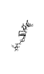 CC(=O)N(C)c1cnn(-c2ccc(OCCCN3CCC[C@H]3C)cc2)c1